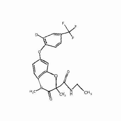 CCNC(=O)C1(C)Oc2cc(Oc3ccc(C(F)(F)F)cc3Cl)ccc2N(C)C1=O